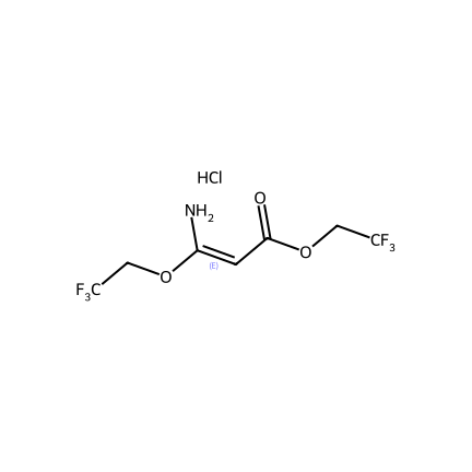 Cl.N/C(=C\C(=O)OCC(F)(F)F)OCC(F)(F)F